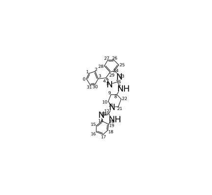 c1ccc(-c2nc(NC3CCN(c4nc5ccccc5[nH]4)CC3)nc3ccccc23)cc1